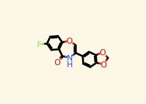 O=C1NC(c2ccc3c(c2)OCO3)=COc2ccc(F)cc21